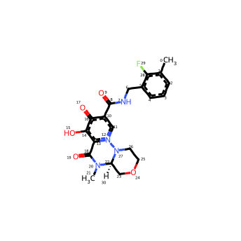 Cc1cccc(CNC(=O)c2cn3c(c(O)c2=O)C(=O)N(C)[C@@H]2COCCN23)c1F